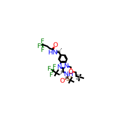 C[C@@H](NC(=O)CCC(F)(F)F)c1ccc2c(c1)nc([C@@H](CC(C)(C)C(F)(F)F)N[S@@+]([O-])C(C)(C)C)n2COCC[Si](C)(C)C